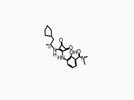 C[C@@H](CC1CCCC1)Nc1c(Nc2cccc(C(=O)N(C)C)c2O)c(=O)c1=O